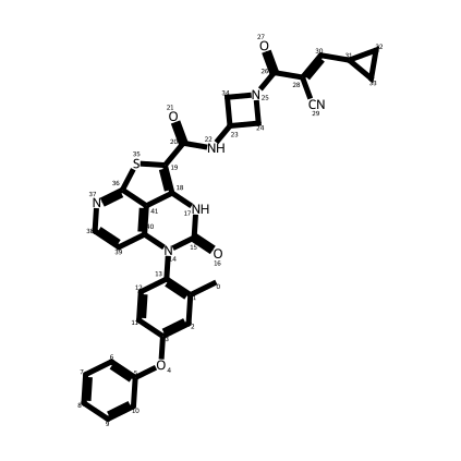 Cc1cc(Oc2ccccc2)ccc1N1C(=O)Nc2c(C(=O)NC3CN(C(=O)/C(C#N)=C/C4CC4)C3)sc3nccc1c23